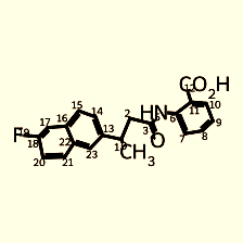 CC(CC(=O)Nc1ccccc1C(=O)O)c1ccc2cc(F)ccc2c1